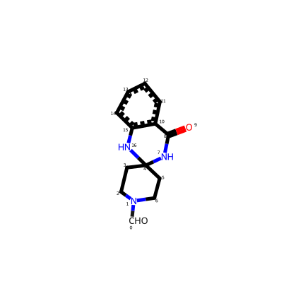 O=CN1CCC2(CC1)NC(=O)c1ccccc1N2